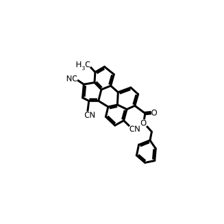 Cc1ccc2c3ccc(C(=O)OCc4ccccc4)c4c(C#N)ccc(c5c(C#N)cc(C#N)c1c25)c43